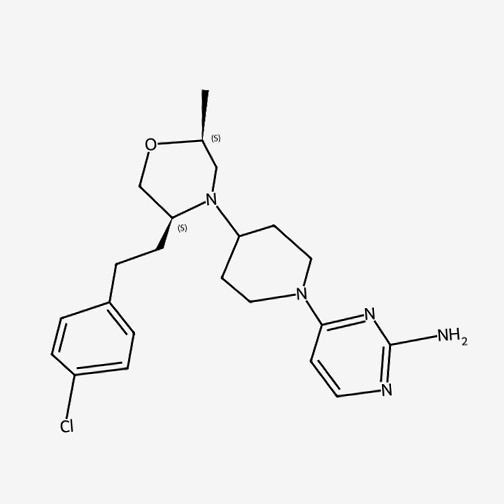 C[C@H]1CN(C2CCN(c3ccnc(N)n3)CC2)[C@@H](CCc2ccc(Cl)cc2)CO1